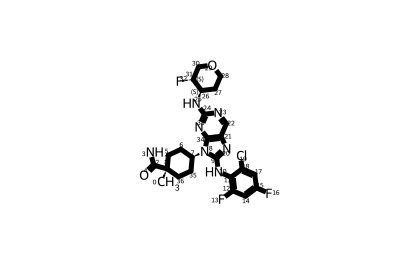 C[C@]1(C(N)=O)CC[C@H](n2c(Nc3c(F)cc(F)cc3Cl)nc3cnc(N[C@H]4CCOC[C@H]4F)nc32)CC1